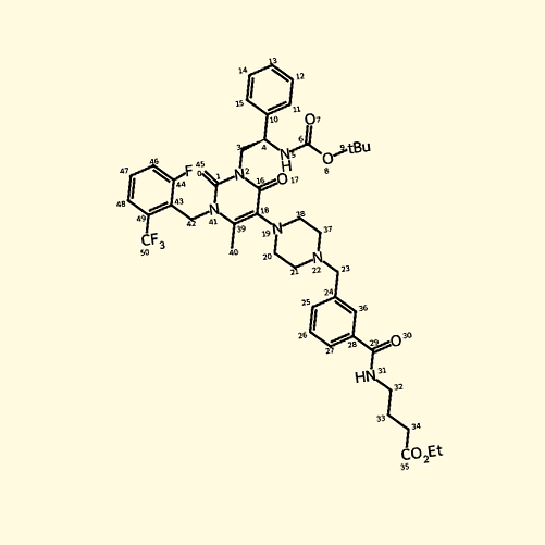 C=C1N(C[C@H](NC(=O)OC(C)(C)C)c2ccccc2)C(=O)C(N2CCN(Cc3cccc(C(=O)NCCCC(=O)OCC)c3)CC2)=C(C)N1Cc1c(F)cccc1C(F)(F)F